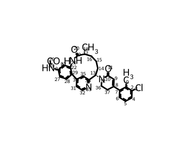 Cc1c(Cl)cccc1C1=CC(=O)N([C@H]2CCC[C@@H](C)C(=O)Nc3cc(NC(=O)O)ccc3-c3ccnc2c3)CC1